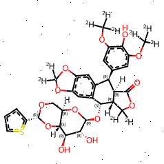 [2H]C([2H])([2H])Oc1cc([C@@H]2c3cc4c(cc3[C@@H](O[C@@H]3O[C@@H]5CO[C@@H](c6cccs6)O[C@H]5[C@H](O)[C@H]3O)[C@@H]3[C@@H]2C(=O)OC3([2H])[2H])OC([2H])([2H])O4)cc(OC([2H])([2H])[2H])c1O